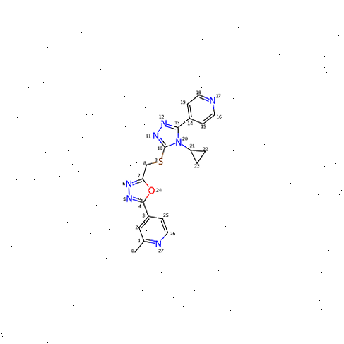 Cc1cc(-c2nnc(CSc3nnc(-c4ccncc4)n3C3CC3)o2)ccn1